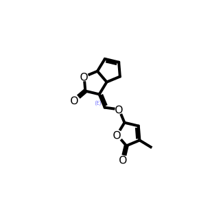 CC1=CC(O/C=C2/C(=O)OC3C=CCC23)OC1=O